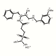 CCCN(CCC)S(=O)(=O)CCC(=O)N[C@@H](Cc1ccccc1)[C@@H](O)CNCc1cccc(OC)c1.Cl